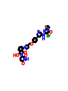 CN1C[C@H](Nc2nc3sccn3c(=O)c2Br)C[C@H](c2ccc(OCC3CCN(c4cccc5c4C(=O)N(C4CCC(=O)NC4=O)C5O)C3)cc2)C1